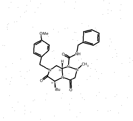 CCC(C)[C@H]1C(=O)N(Cc2ccc(OC)cc2)C[C@H]2N1C(=O)CN(C)N2C(=O)NCc1ccccc1